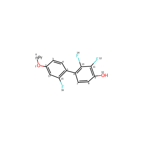 CCCOc1ccc(-c2ccc(O)c(F)c2F)c(F)c1